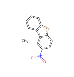 C.O=[N+]([O-])c1ccc2sc3ccccc3c2c1